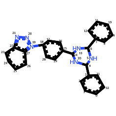 c1ccc(C2NC(c3ccccc3)NC(c3ccc(-n4nnc5ccccc54)cc3)N2)cc1